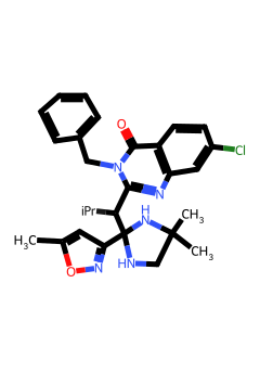 Cc1cc(C2(C(c3nc4cc(Cl)ccc4c(=O)n3Cc3ccccc3)C(C)C)NCC(C)(C)N2)no1